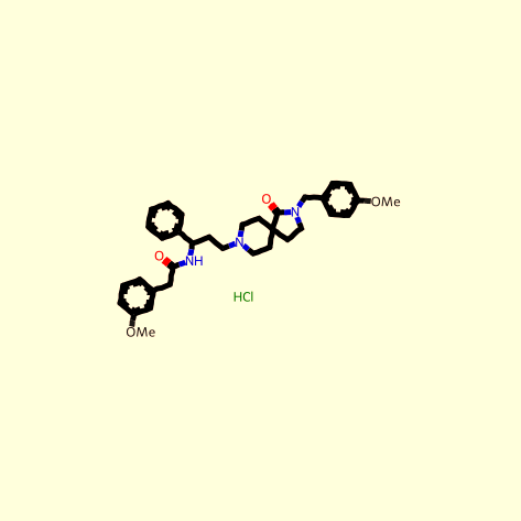 COc1ccc(CN2CCC3(CCN(CCC(NC(=O)Cc4cccc(OC)c4)c4ccccc4)CC3)C2=O)cc1.Cl